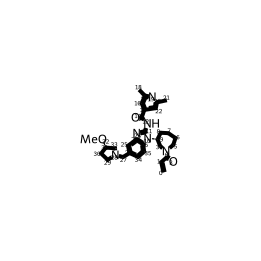 C=CC(=O)N1CCCC[C@@H](n2c(NC(=O)c3cc(C)nc(C)c3)nc3cc(CN4CC[C@H](OC)C4)ccc32)C1